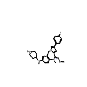 C=N/N=C1/c2cc(-c3ccc(F)cc3)cn2Cc2cc(NC3CCNCC3)ccc2N1C